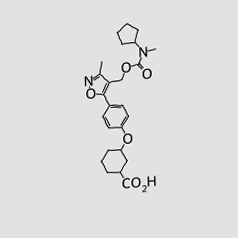 Cc1noc(-c2ccc(OC3CCCC(C(=O)O)C3)cc2)c1COC(=O)N(C)C1CCCC1